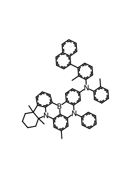 Cc1cc2c3c(c1)N1c4c(cccc4C4(C)CCCCC14C)B3c1ccc(N(c3ccccc3C)c3cccc(-c4cccc5ccccc45)c3C)cc1N2c1ccccc1